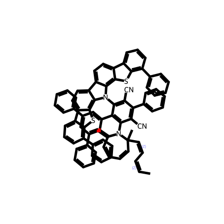 C=C1C=CC=CC(C)(/C=C\C=C/C)N1c1c(C#N)c(-c2ccccc2)c(C#N)c(-n2c3c(ccc4c5cccc(-c6ccccc6)c5sc43)c3ccc4c5cccc(-c6ccccc6)c5sc4c32)c1-c1cc(-c2ccccc2)cc(-c2ccccc2)c1